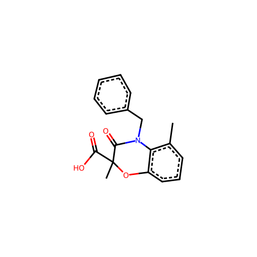 Cc1cccc2c1N(Cc1ccccc1)C(=O)C(C)(C(=O)O)O2